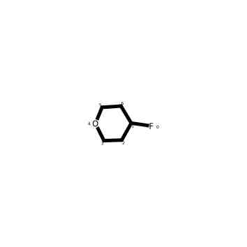 FC1CCOCC1